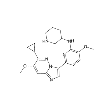 COc1ccc(-c2cnc3cc(OC)c(C4CC4)nn23)nc1NC1CCCNC1